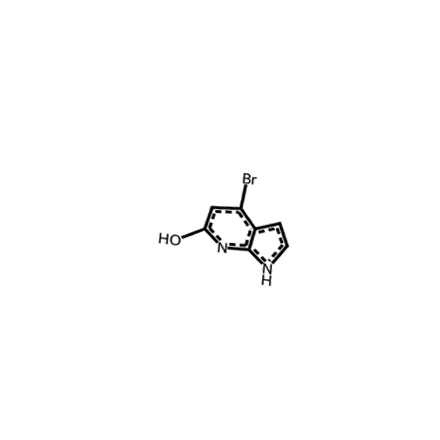 Oc1cc(Br)c2cc[nH]c2n1